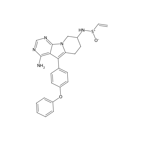 C=C[S+]([O-])NC1CCc2c(-c3ccc(Oc4ccccc4)cc3)c3c(N)ncnc3n2C1